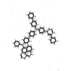 C1=Cc2cc(N(c3ccccc3)c3ccc(-c4ccc(N(c5ccc(-c6ccccc6)cc5)c5ccc(C6C=C(c7ccccc7)C=CC6)cc5)cc4)cc3)c3cccc4c3c2C(=CC4)C1